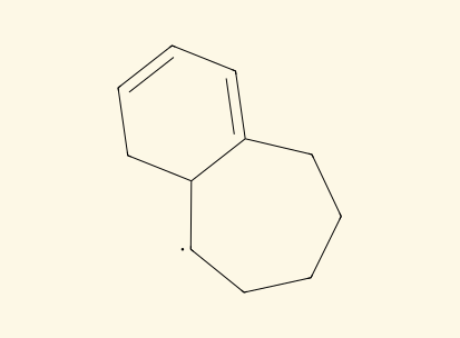 [CH]1CCCCC2=CC=CCC12